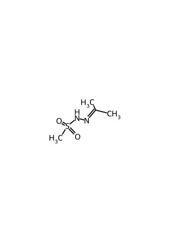 CC(C)=NNS(C)(=O)=O